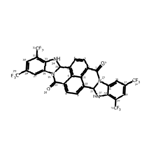 O=C1c2ccc3c4c(ccc(c24)C2Nc4c(cc(C(F)(F)F)cc4C(F)(F)F)N12)C(=O)N1c2cc(C(F)(F)F)cc(C(F)(F)F)c2NC31